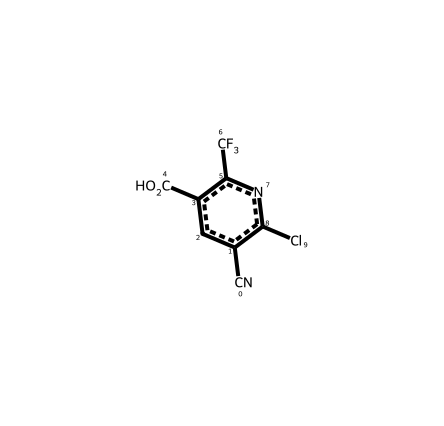 N#Cc1cc(C(=O)O)c(C(F)(F)F)nc1Cl